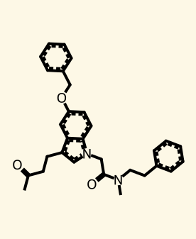 CC(=O)CCc1cn(CC(=O)N(C)CCc2ccccc2)c2ccc(OCc3ccccc3)cc12